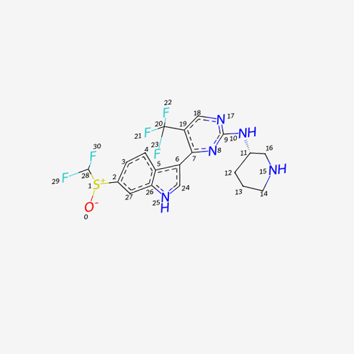 [O-][S+](c1ccc2c(-c3nc(N[C@H]4CCCNC4)ncc3C(F)(F)F)c[nH]c2c1)C(F)F